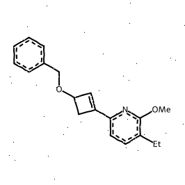 CCc1ccc(C2=CC(OCc3ccccc3)C2)nc1OC